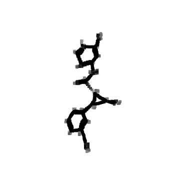 O=C(Nc1cc(Cl)ncn1)[C@@H]1[C@@H](F)[C@H]1c1cccc(Cl)c1